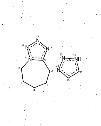 C1CCc2nnnn2CC1.c1c[nH]nn1